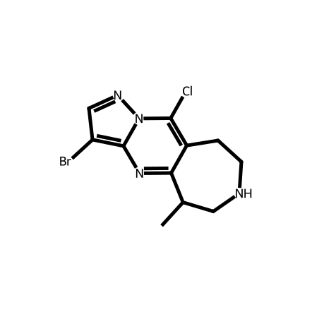 CC1CNCCc2c1nc1c(Br)cnn1c2Cl